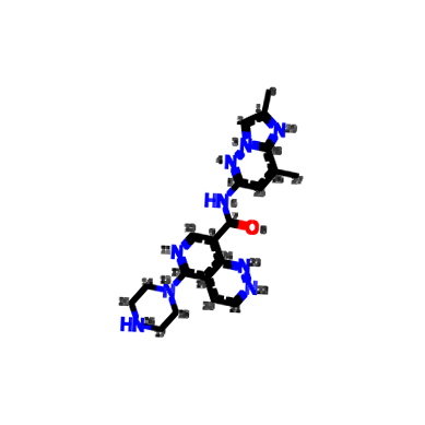 Cc1cn2nc(NC(=O)c3cnc(N4CCNCC4)c4ccnnc34)cc(C)c2n1